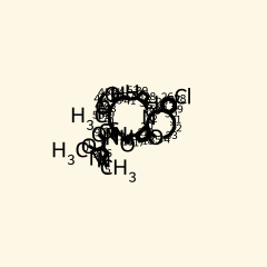 COc1nn(C)cc1C(=O)NS1(=O)=NC(=O)c2ccc3c(c2)N(Cc2ccc(Cl)cc2CCCCO3)C[C@@H]2CC[C@H]2/C=C/[C@H]2OCCO[C@@H]2[C@H](C)C1